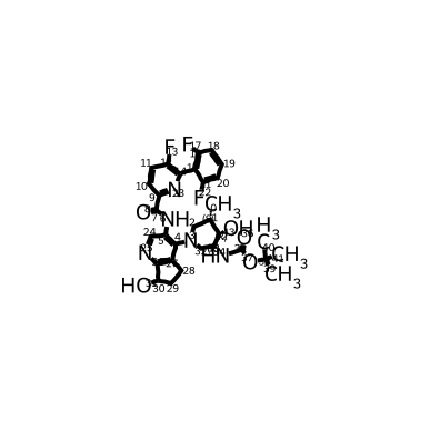 C[C@H]1CN(c2c(NC(=O)c3ccc(F)c(-c4c(F)cccc4F)n3)cnc3c2CCC3O)C[C@@H](NC(=O)OC(C)(C)C)[C@@H]1O